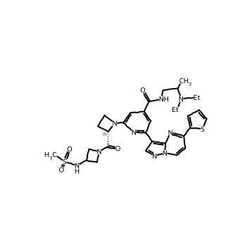 CCN(CC)C(C)CNC(=O)c1cc(-c2cnn3ccc(-c4cccs4)nc23)nc(N2CC[C@H]2C(=O)N2CC(NS(C)(=O)=O)C2)c1